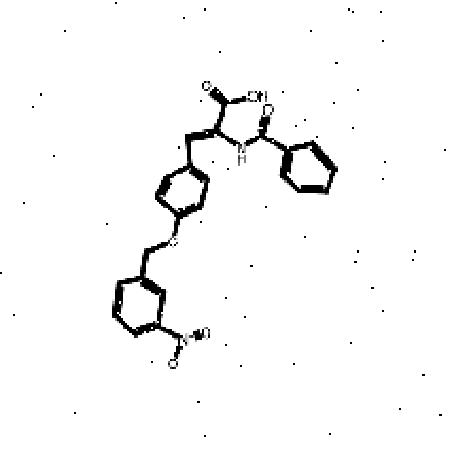 O=C(O)C(=Cc1ccc(OCc2cccc([N+](=O)[O-])c2)cc1)NC(=O)c1ccccc1